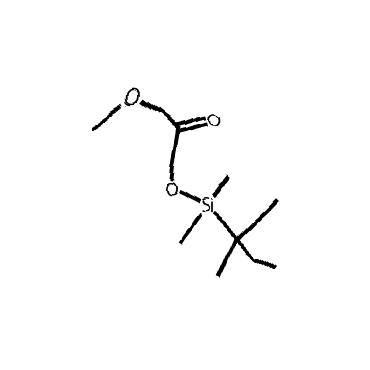 COC(=O)O[Si](C)(C)C(C)(C)C